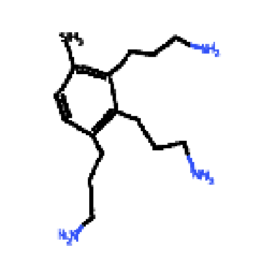 NCCCc1ccc([SiH3])c(CCCN)c1CCCN